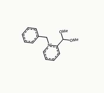 COC(OC)c1cccc[n+]1Cc1ccccc1